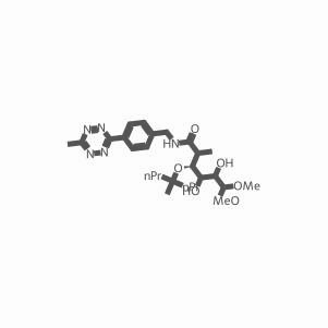 CCCC(C)(CCC)O[C@H](C(C)C(=O)NCc1ccc(-c2nnc(C)nn2)cc1)C(O)C(O)C(OC)OC